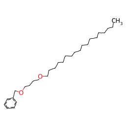 CCCCCCCCCCCCCCCCCCOCCCCOCc1ccccc1